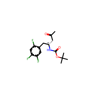 CC(=O)C[C@@H](Cc1cc(F)c(F)cc1F)NC(=O)OC(C)(C)C